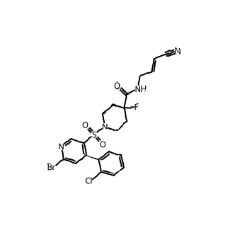 N#C/C=C/CNC(=O)C1(F)CCN(S(=O)(=O)c2cnc(Br)cc2-c2ccccc2Cl)CC1